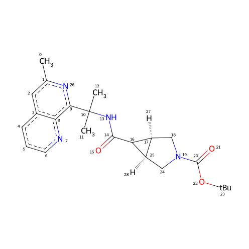 Cc1cc2cccnc2c(C(C)(C)NC(=O)C2[C@H]3CN(C(=O)OC(C)(C)C)C[C@@H]23)n1